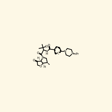 CCCN1CCN(c2ccc(C(=O)NC(C(=O)N3C[C@@H](C)[C@H]4OCC(=O)[C@H]43)C(C)(C)CC)cc2)CC1